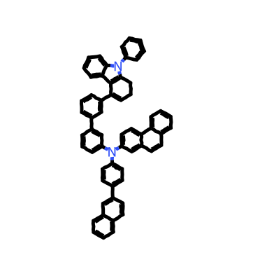 C1=C=CC(n2c3c(c4ccccc42)C(c2cccc(-c4cccc(N(c5ccc(-c6ccc7ccccc7c6)cc5)c5ccc6c(ccc7ccccc76)c5)c4)c2)=CCC3)=CC=1